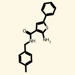 Cc1ccc(CNC(=O)c2cc(-c3ccccc3)sc2N)cc1